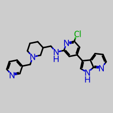 Clc1cc(-c2c[nH]c3ncccc23)cc(NCC2CCCN(Cc3cccnc3)C2)n1